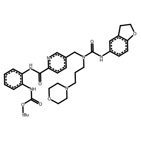 CC(C)(C)OC(=O)Nc1ccccc1NC(=O)c1ccc(CN(CCCN2CCOCC2)C(=O)Nc2ccc3c(c2)CCO3)cn1